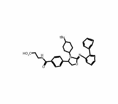 CC(C)(C)C1CCC(N2C(=Nc3ccccc3-c3ccccc3)OCC2c2ccc(C(=O)NCCC(=O)O)cc2)CC1